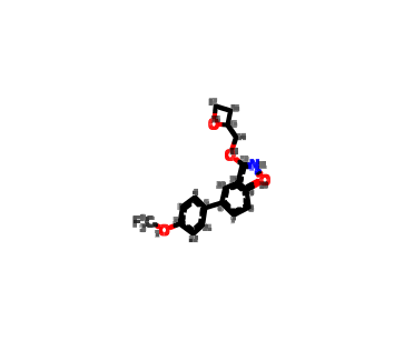 FC(F)(F)Oc1ccc(-c2ccc3onc(OCC4CCO4)c3c2)cc1